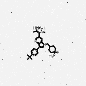 CC1=C(c2cnc3c(-c4ccc(C(C)(C)C)cc4)cn(CC4CCC(F)(P)CC4)c3c2)N(C)NN1